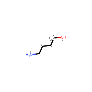 NCCC[SiH2]O